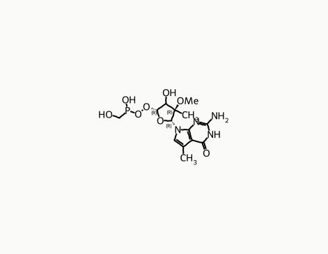 CO[C@]1(C)C(O)[C@@H](OOP(O)CO)O[C@H]1n1cc(C)c2c(=O)[nH]c(N)nc21